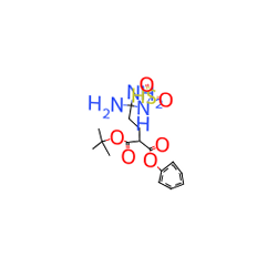 CC(C)(C)OC(=O)C(CCC(N)(N)N[SH](=O)=O)C(=O)Oc1ccccc1